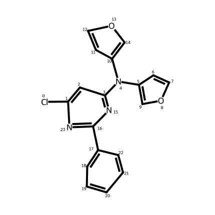 Clc1cc(N(c2ccoc2)c2ccoc2)nc(-c2ccccc2)n1